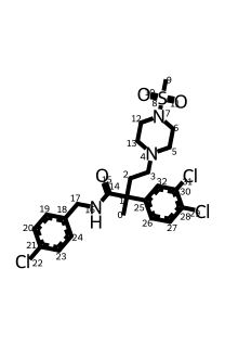 CC(CCN1CCN(S(C)(=O)=O)CC1)(C(=O)NCc1ccc(Cl)cc1)c1ccc(Cl)c(Cl)c1